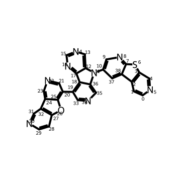 c1cc2c(cn1)sc1ncc(-n3c4cncnc4c4c(-c5cncc6c5oc5ccncc56)cncc43)cc12